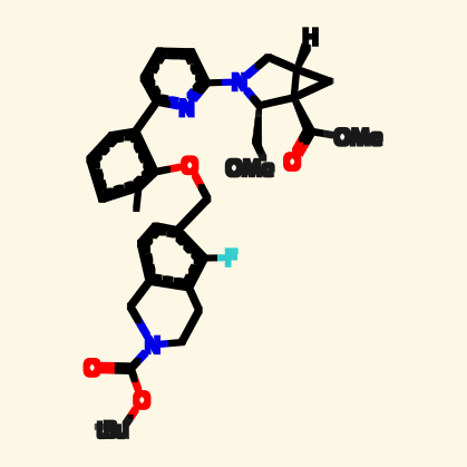 COC[C@H]1N(c2cccc(-c3cccc(C)c3OCc3ccc4c(c3F)CCN(C(=O)OC(C)(C)C)C4)n2)C[C@@H]2C[C@@]21C(=O)OC